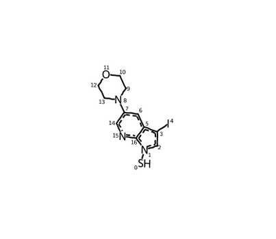 Sn1cc(I)c2cc(N3CCOCC3)cnc21